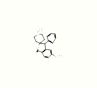 COc1ccc2c(c1)C(c1ccccc1)C1(CCN(C)CC1)OC2=O